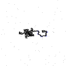 CC/C=C\C/C=C\C/C=C\C/C=C\C/C=C\CCCC(=O)OCC(C)(C)[C@@H](OC)C(=O)NCCC(C)=O